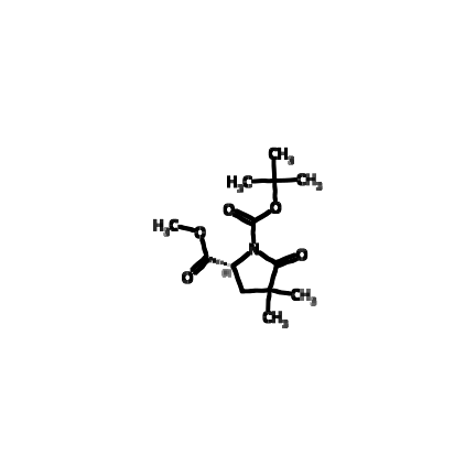 COC(=O)[C@H]1CC(C)(C)C(=O)N1C(=O)OC(C)(C)C